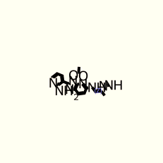 CC(=O)On1c(-c2cccnc2N)nc2ccc(N/C=C(/C)N=N)nc21